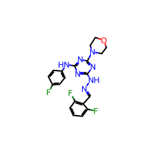 Fc1ccc(Nc2nc(NN=Cc3c(F)cccc3F)nc(N3CCOCC3)n2)cc1